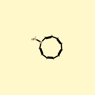 CCCN1\C=C/C=C\C=C/C=C\C=C/1